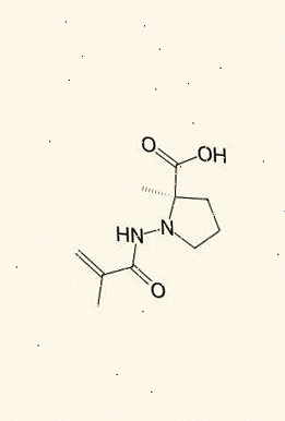 C=C(C)C(=O)NN1CCC[C@]1(C)C(=O)O